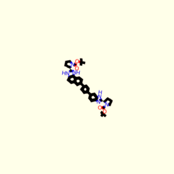 CC(C)(C)OC(=O)N1CCC[C@H]1c1nc2ccc(-c3ccc(-c4ccc5c6c(ccc5c4)NC([C@@H]4CCCN4C(=O)OC(C)(C)C)N6)cc3)cc2[nH]1